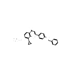 COc1ccc2c(=O)cc(-c3ccc(OCc4ccccc4)cc3)oc2c1C1CC1